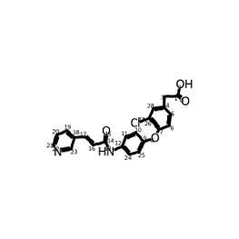 O=C(O)Cc1ccc(Oc2ccc(NC(=O)/C=C/c3cccnc3)cc2)c(Cl)c1